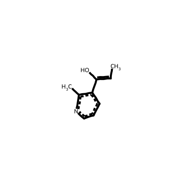 CC=C(O)c1cccnc1C